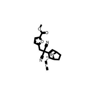 C=C=C[C@@H]1C(C(C#N)(C#N)Cc2ccc(C(=O)OC)o2)=CC2CCC1N2